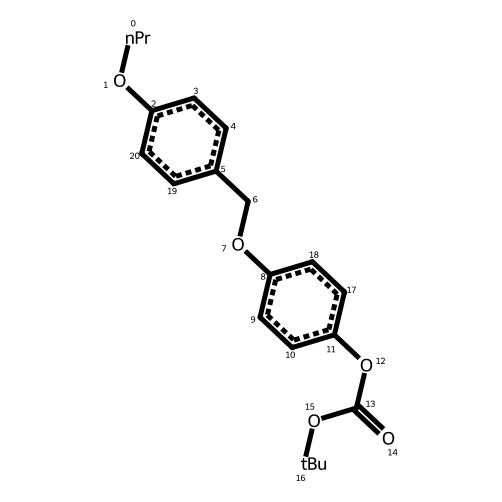 CCCOc1ccc(COc2ccc(OC(=O)OC(C)(C)C)cc2)cc1